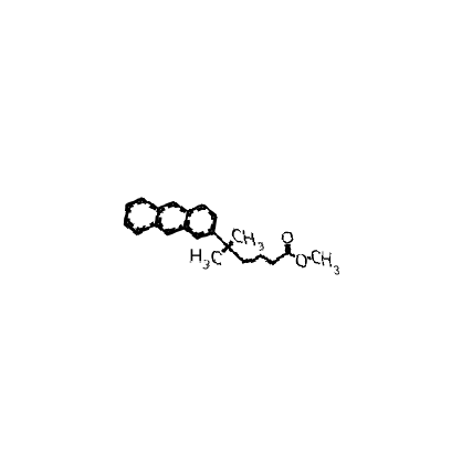 COC(=O)CCCC(C)(C)c1ccc2cc3ccccc3cc2c1